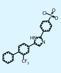 O=S(=O)(Cl)c1ccc(-c2ncc(-c3ccc(-c4ccccc4)c(C(F)(F)F)c3)[nH]2)cc1